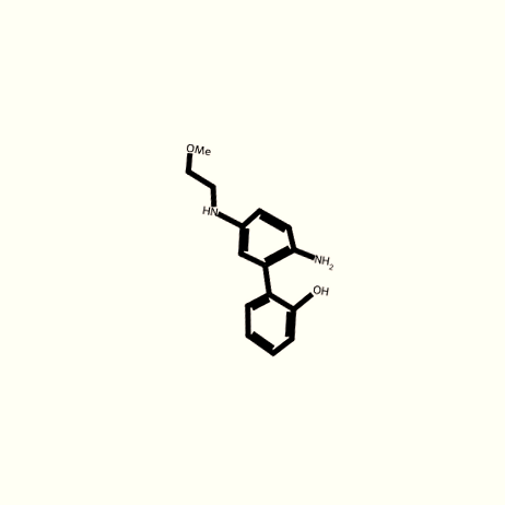 COCCNc1ccc(N)c(-c2ccccc2O)c1